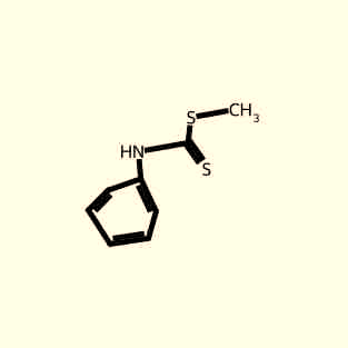 CSC(=S)Nc1ccccc1